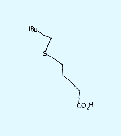 CCC(C)CSCCCC(=O)O